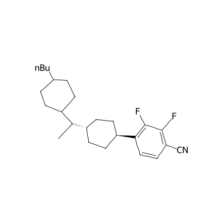 CCCCC1CCC(C(C)[C@H]2CC[C@H](c3ccc(C#N)c(F)c3F)CC2)CC1